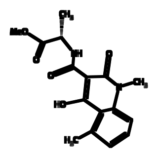 COC(=O)[C@H](C)NC(=O)c1c(O)c2c(C)cccc2n(C)c1=O